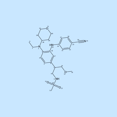 CCN(c1ccc(C(CNS(C)(=O)=O)COC)cc1Nc1ccc(C#N)cc1)C1CCOCC1